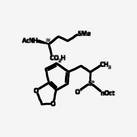 CCCCCCCC[S+]([O-])C(C)Cc1ccc2c(c1)OCO2.CSCC[C@H](NC(C)=O)C(=O)O